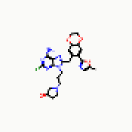 Cc1cnc(-c2cc3c(cc2Cc2nc4c(N)nc(F)nc4n2CCCN2CCC(=O)C2)OCCO3)o1